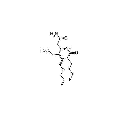 C=CCO/N=c1/c(CC(=O)O)c(CC(N)=O)[nH]c(=O)n1CCCF